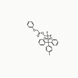 Cc1ccc(C(c2ccccc2)(c2ccccc2)S(=O)(=O)C(F)(F)COC(=O)COc2ccccc2)cc1